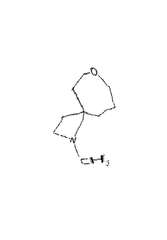 CN1CCC12CCCOC2